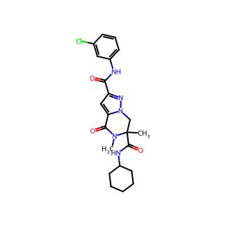 CN1C(=O)c2cc(C(=O)Nc3cccc(Cl)c3)nn2CC1(C)C(=O)NC1CCCCC1